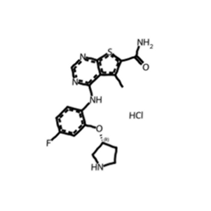 Cc1c(C(N)=O)sc2ncnc(Nc3ccc(F)cc3O[C@@H]3CCNC3)c12.Cl